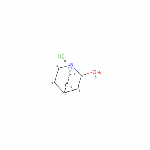 Cl.OC1CC2CCN1CC2